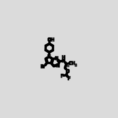 C[C@@H](COC(F)F)Nc1ncc2c(Br)cn(C3CCC(O)CC3)c2n1